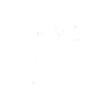 CC/C=C\C/C=C\C/C=C\C/C=C\C/C=C\CCOC(CC)C(=O)Nc1ccc(N=O)c(C(=O)O)c1